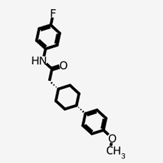 COc1ccc([C@H]2CC[C@@H](CC(=O)Nc3ccc(F)cc3)CC2)cc1